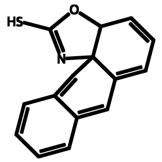 SC1=NC23C=c4ccccc4=CC2=CC=CC3O1